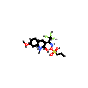 CCCS(=O)(=O)O/N=C(\c1cc2ccc(OC)cc2n(C)c1=O)C(F)(F)F